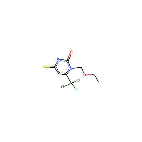 CCOCn1c(C(Cl)(Cl)Cl)cc(=S)[nH]c1=O